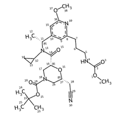 COC(=O)NCCCc1cc([C@@H](C)N(C(=O)[C@H]2CN(C(=O)OC(C)(C)C)C[C@@H](CC#N)O2)C2CC2)cc(OC)n1